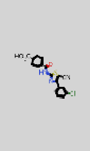 N#Cc1sc(NC(=O)[C@H]2CC[C@@H](C(=O)O)CC2)nc1-c1cccc(Cl)c1